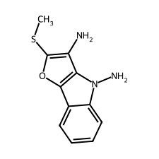 CSc1oc2c3ccccc3n(N)c2c1N